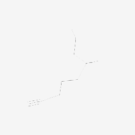 C#CCCCC(C)CC[CH2]